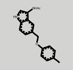 CC(=O)Nc1c[nH]c2ccc(COc3ccc(C)cc3)cc12